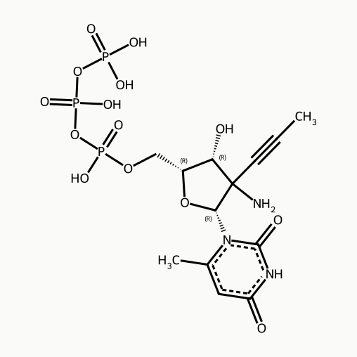 CC#CC1(N)[C@@H](O)[C@@H](COP(=O)(O)OP(=O)(O)OP(=O)(O)O)O[C@H]1n1c(C)cc(=O)[nH]c1=O